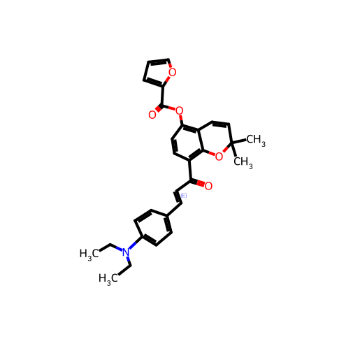 CCN(CC)c1ccc(/C=C/C(=O)c2ccc(OC(=O)c3ccco3)c3c2OC(C)(C)C=C3)cc1